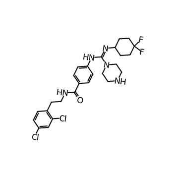 O=C(NCCc1ccc(Cl)cc1Cl)c1ccc(N/C(=N/C2CCC(F)(F)CC2)N2CCNCC2)cc1